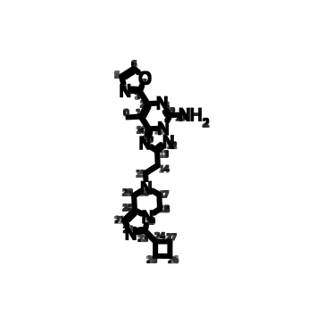 Cc1c(-c2ncco2)nc(N)n2nc(CCN3CCn4c(cnc4C4CCC4)C3)nc12